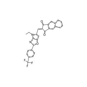 CCn1c(C=C2C(=O)c3cc4ccccc4cc3C2=O)cc2oc(-c3ccc(C(F)(F)F)cc3)nc21